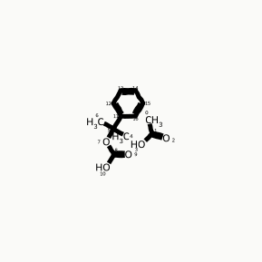 CC(=O)O.CC(C)(OC(=O)O)c1ccccc1